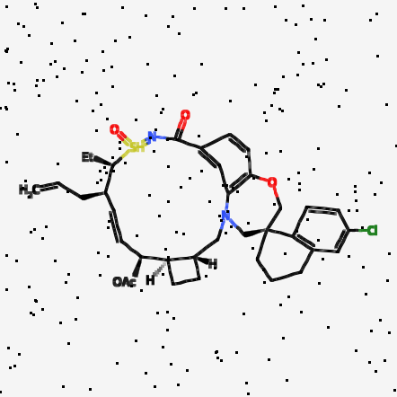 C=CC[C@@H]1/C=C/[C@H](OC(C)=O)[C@@H]2CC[C@H]2CN2C[C@@]3(CCCc4cc(Cl)ccc43)COc3ccc(cc32)C(=O)/N=[SH](=O)\[C@@H]1CC